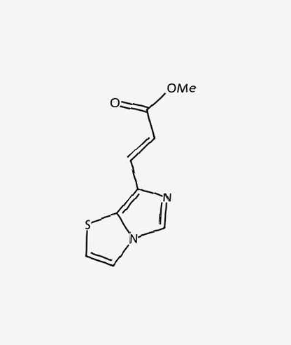 COC(=O)C=Cc1ncn2ccsc12